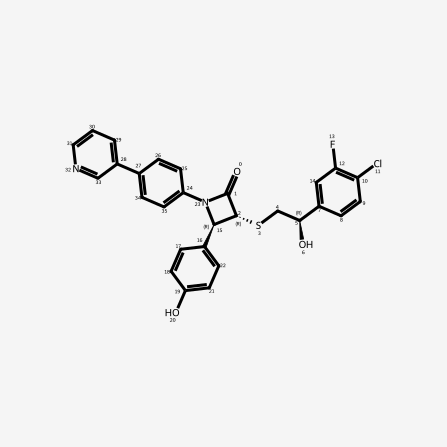 O=C1[C@H](SC[C@H](O)c2ccc(Cl)c(F)c2)[C@@H](c2ccc(O)cc2)N1c1ccc(-c2cccnc2)cc1